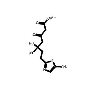 COC(=O)CC(=O)CC(O)(CCc1ncc(C)s1)C(C)C